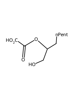 CCCCCCC(CO)OC(=O)C(=O)O